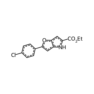 CCOC(=O)c1cc2oc(-c3ccc(Cl)cc3)cc2[nH]1